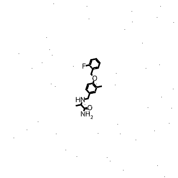 Cc1cc(CNC(C)C(N)=O)ccc1OCc1ccccc1F